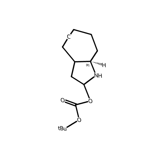 CC(C)(C)OC(=O)OC1CC2CCCCC[C@H]2N1